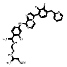 C=C(CNC)NCCNC(=C)c1ccc(Nc2nccn3c(-c4ccc(Cc5ccccn5)c(F)c4F)cnc23)cc1CC